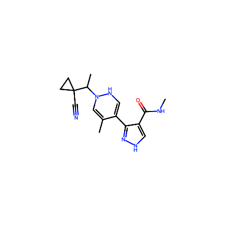 CNC(=O)c1c[nH]nc1C1=CNN(C(C)C2(C#N)CC2)C=C1C